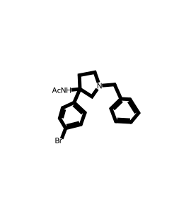 CC(=O)NC1(c2ccc(Br)cc2)CCN(Cc2ccccc2)C1